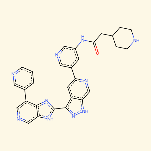 O=C(CC1CCNCC1)Nc1cncc(-c2cc3c(-c4nc5c(-c6cccnc6)cncc5[nH]4)n[nH]c3cn2)c1